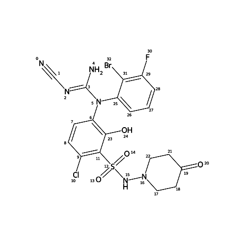 N#CN=C(N)N(c1ccc(Cl)c(S(=O)(=O)NN2CCC(=O)CC2)c1O)c1cccc(F)c1Br